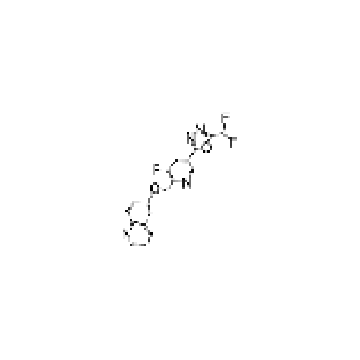 Fc1cc(-c2nnc(C(F)F)o2)cnc1COc1ccc2ncccc2c1